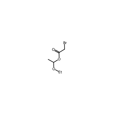 CCOC(C)OC(=O)CBr